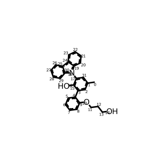 Cc1cc(-c2ccccc2OCCCO)c(O)c(-n2c3ccccc3c3ccccc32)c1